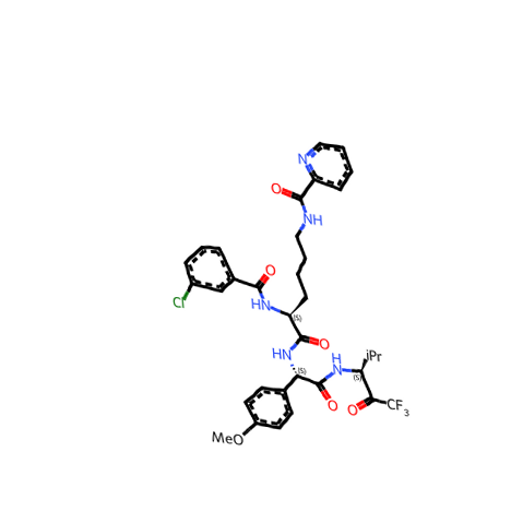 COc1ccc([C@H](NC(=O)[C@H](CCCCNC(=O)c2ccccn2)NC(=O)c2cccc(Cl)c2)C(=O)N[C@H](C(=O)C(F)(F)F)C(C)C)cc1